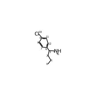 CCCC(NC)c1ccc(Cl)cc1